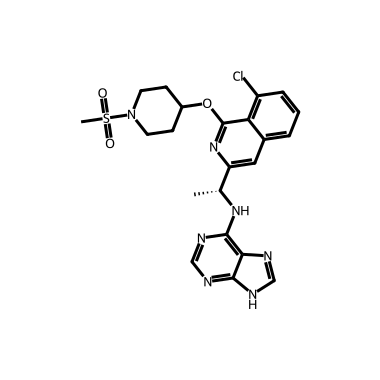 C[C@@H](Nc1ncnc2[nH]cnc12)c1cc2cccc(Cl)c2c(OC2CCN(S(C)(=O)=O)CC2)n1